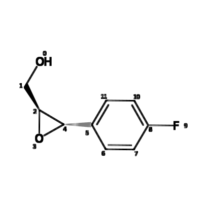 OC[C@@H]1O[C@H]1c1ccc(F)cc1